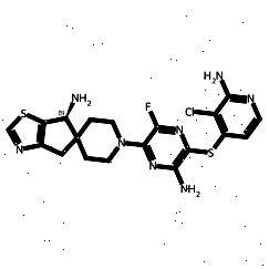 Nc1nc(N2CCC3(CC2)Cc2ncsc2[C@H]3N)c(F)nc1Sc1ccnc(N)c1Cl